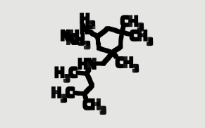 CC(C)CC(C)NCC1(C)CC(N)CC(C)(C)C1.N.N